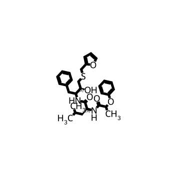 CC(C)C[C@H](NC(=O)C(C)Oc1ccccc1)C(=O)NC(Cc1ccccc1)[C@H](O)CSCc1ccco1